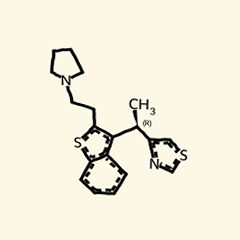 C[C@@H](c1cscn1)c1c(CCN2CCCC2)sc2ccccc12